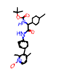 Cc1cc[n+]([O-])c(C)c1-c1ccc(NC(=O)C(NC(=O)OC(C)(C)C)C2CCC(C)CC2)cc1